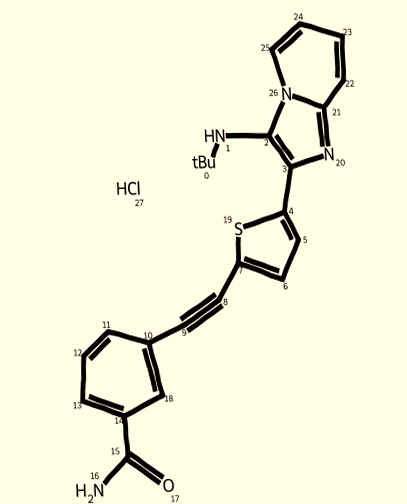 CC(C)(C)Nc1c(-c2ccc(C#Cc3cccc(C(N)=O)c3)s2)nc2ccccn12.Cl